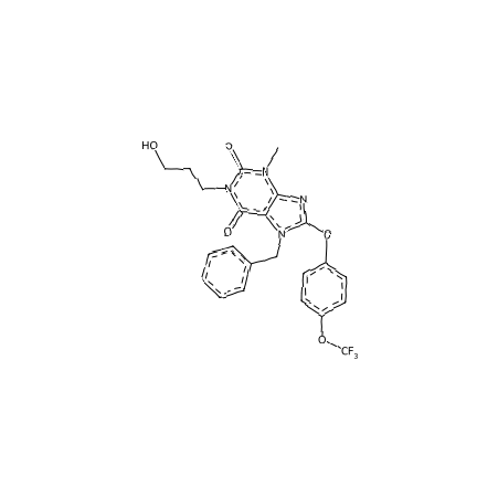 Cn1c(=O)n(CCCO)c(=O)c2c1nc(Oc1ccc(OC(F)(F)F)cc1)n2Cc1ccccc1